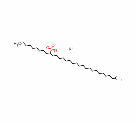 CCCCCCCCCCCCCCCCCCCCC(CCCCCCCCC)S(=O)(=O)[O-].[K+]